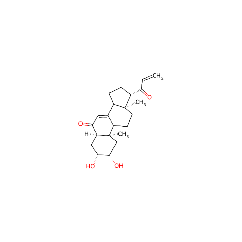 C=CC(=O)[C@H]1CCC2C3=CC(=O)[C@@H]4C[C@@H](O)[C@@H](O)C[C@]4(C)C3CC[C@@]21C